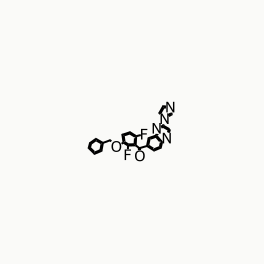 O=C(c1ccc2ncc(-n3ccnc3)nc2c1)c1c(F)ccc(OCc2ccccc2)c1F